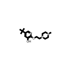 CN1CCN(CCOc2ncc(C(C)(C)C)cc2O)CC1